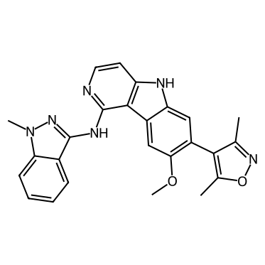 COc1cc2c(cc1-c1c(C)noc1C)[nH]c1ccnc(Nc3nn(C)c4ccccc34)c12